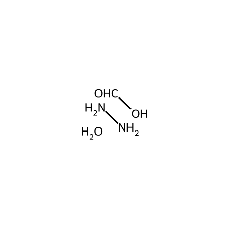 NN.O.O=CO